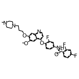 COc1cc2c(Oc3ccc(N[S+]([O-])c4ccc(F)cc4F)cc3F)ccnc2cc1OCCCN1CCN(C)CC1